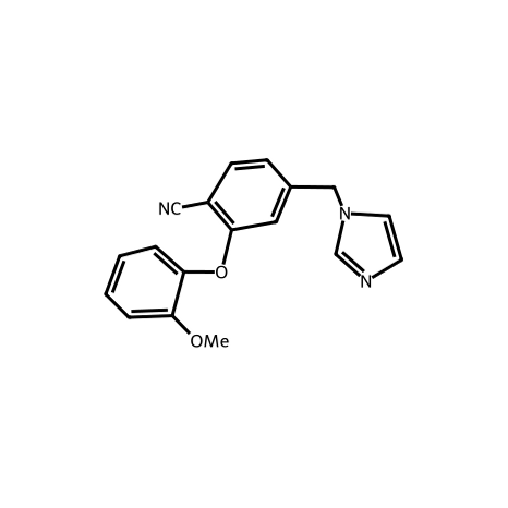 COc1ccccc1Oc1cc(Cn2ccnc2)ccc1C#N